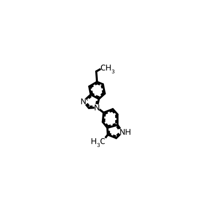 CCc1ccc2c(c1)ncn2-c1ccc2[nH]cc(C)c2c1